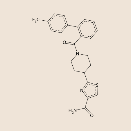 NC(=O)c1csc(C2CCN(C(=O)c3ccccc3-c3ccc(C(F)(F)F)cc3)CC2)n1